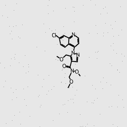 COCc1c(C(=O)N(COC)OC)cnn1-c1ccnc2cc(Cl)ccc12